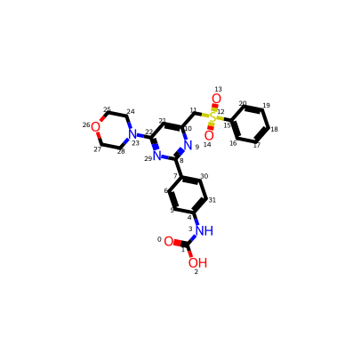 O=C(O)Nc1ccc(-c2nc(CS(=O)(=O)c3ccccc3)cc(N3CCOCC3)n2)cc1